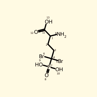 NC(CCC(Br)(Br)P(=O)(O)O)C(=O)O